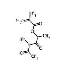 C=C(C(=O)OC(C)C(=O)N(C(=O)C(F)(F)F)C(C)C)C(F)(F)F